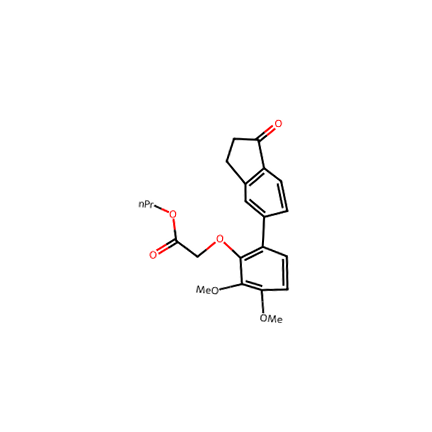 CCCOC(=O)COc1c(-c2ccc3c(c2)CCC3=O)ccc(OC)c1OC